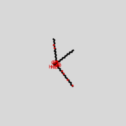 CCCCCCCCC=CCCCCCCCC(=O)C(O)(C(=O)CCCCCCCCCCCCCCCCC)C(O)(CO)C(=O)CCCCCCCCCCCCCCC